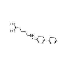 OB(O)CCCCNCc1ccc(-c2ccccc2)cc1